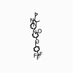 Cc1c(C2CC2)nc2ccc(-n3ccc(OCc4ccc(C(F)(F)F)cc4)cc3=O)cn12